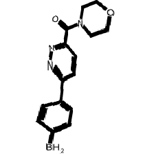 Bc1ccc(-c2ccc(C(=O)N3CCOCC3)nn2)cc1